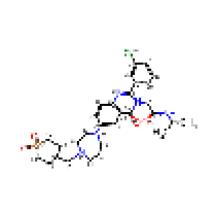 CC(C)NC(=O)Cn1c(-c2cccc(Cl)c2)nc2ccc(N3CCCN(CC4CCS(=O)(=O)CC4)CC3)cc2c1=O